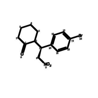 O=C1CCCCC1[C@H](C[N+](=O)[O-])c1ccc(Br)cc1